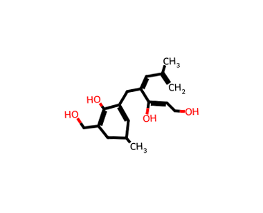 C=C(C)/C=C(CC1=CC(C)CC(CO)=C1O)\C(O)=C\CO